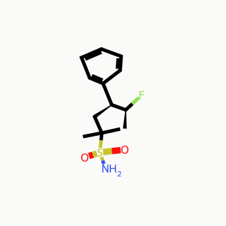 C[C@H](F)[C@@H](CC(C)(C)S(N)(=O)=O)c1ccccc1